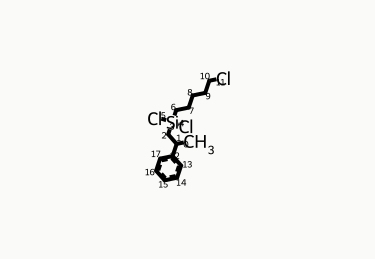 CC(C[Si](Cl)(Cl)CCCCCCl)c1ccccc1